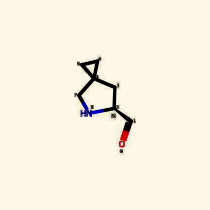 O=C[C@@H]1CC2(CC2)CN1